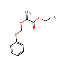 C=C(OCSc1ccccc1)C(=O)OCC